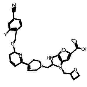 N#Cc1ccc(COC2CC=CC(C3=CCN(CC4Nc5oc(C(=O)O)cc5N4CC4CCO4)CC3)=N2)c(F)c1